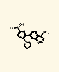 Nc1cnnc2cc(-c3cc(B(O)O)ccc3N3CCCC3)ccc12